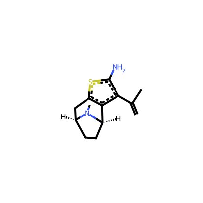 C=C(C)c1c(N)sc2c1[C@H]1CC[C@@H](C2)N1C